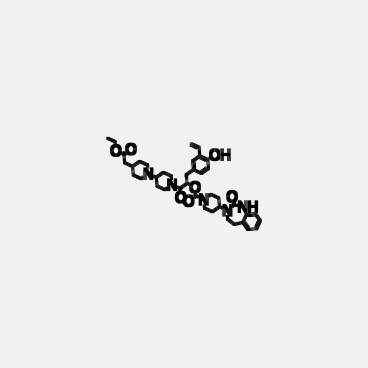 C=Cc1cc(C[C@@H](OC(=O)N2CCC(N3CCc4ccccc4NC3=O)CC2)C(=O)N2CCC(N3CCC(CC(=O)OCC)CC3)CC2)ccc1O